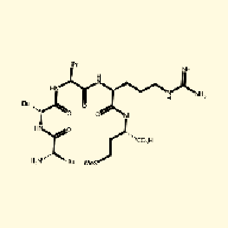 CC[C@H](C)[C@H](N)C(=O)N[C@H](C(=O)N[C@H](C(=O)N[C@@H](CCCNC(=N)N)C(=O)N[C@@H](CCSC)C(=O)O)C(C)C)[C@@H](C)CC